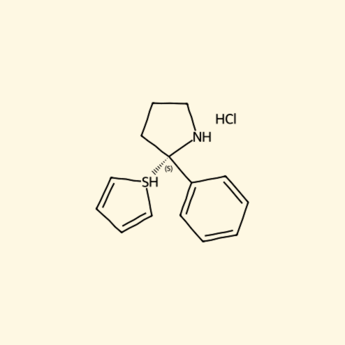 C1=C[SH]([C@]2(c3ccccc3)CCCN2)C=C1.Cl